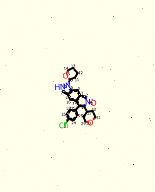 O=[n+]1cc2cc3c(c[nH]n3C3CCCCO3)cc2c(-c2ccc(Cl)cc2)c1C1CCOCC1